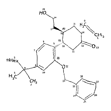 C=C.CCCCCCC(C)(C)c1ccc([C@H]2CC(=O)CC[C@@H]2CCO)c(OCc2ccccc2)c1